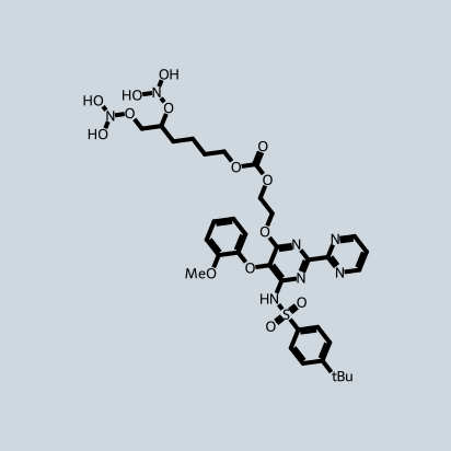 COc1ccccc1Oc1c(NS(=O)(=O)c2ccc(C(C)(C)C)cc2)nc(-c2ncccn2)nc1OCCOC(=O)OCCCCC(CON(O)O)ON(O)O